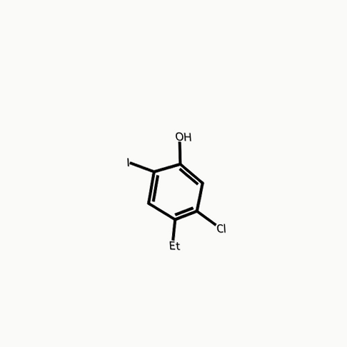 CCc1cc(I)c(O)cc1Cl